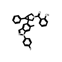 Cc1cc2c(cnn2-c2ccc(F)cc2)cc1C12CN(C(=O)c3ccccc3C#N)CC1C2c1ccccc1